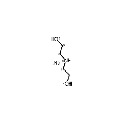 OCCNCCO.[Na]